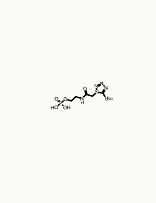 CC(C)(C)c1nnnn1CC(=O)NCCOP(=O)(O)O